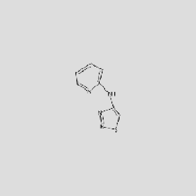 c1ccc(Nc2csnn2)nc1